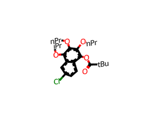 CCCOc1c(OCCC)c(OC(C)C)c2cc(Cl)ccc2c1OC(=O)C(C)(C)C